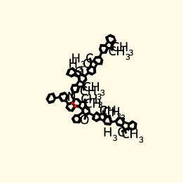 CC1(C)c2ccccc2-c2ccc(-c3ccc4c(c3)C(C)(C)c3cc(-c5cc6c(c7c5oc5ccccc57)-c5ccc(N(c7ccc8c(c7)C(C)(C)c7cc(-c9ccc%10c(c9)C(C)(C)c9cc(-c%11ccc%12c(c%11)C(C)(C)c%11ccccc%11-%12)ccc9-%10)c9oc%10ccccc%10c9c7-8)c7ccc(-c8ccccc8)cc7-c7ccccc7)cc5C6(C)C)ccc3-4)cc21